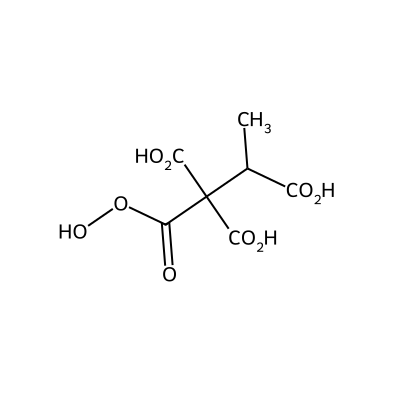 CC(C(=O)O)C(C(=O)O)(C(=O)O)C(=O)OO